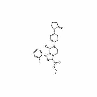 CCOC(=O)c1nn(-c2ccccc2F)c2c1CCN(c1ccc(N3CCCC3=O)cc1)C2=O